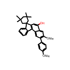 COc1ccc(-c2cc3c4c(cc(O)c3cc2OC)C2(CC(C)(C)CC(C)(C)C2)c2ccccc2-4)cc1